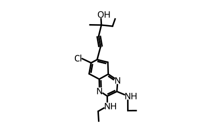 CCNc1nc2cc(Cl)c(C#CC(C)(O)CC)cc2nc1NCC